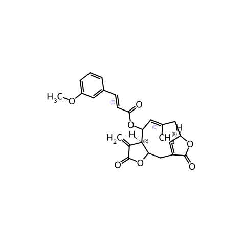 C=C1C(=O)OC2CC3=C[C@@H](C/C(C)=C/C(OC(=O)/C=C/c4cccc(OC)c4)[C@H]12)OC3=O